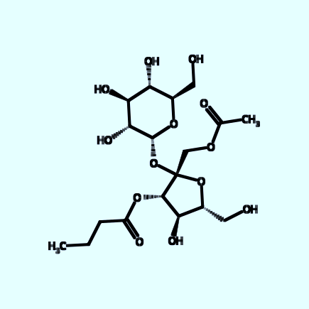 CCCC(=O)O[C@H]1[C@H](O)[C@@H](CO)O[C@@]1(COC(C)=O)O[C@H]1O[C@H](CO)[C@@H](O)[C@H](O)[C@H]1O